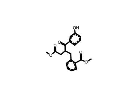 COC(=O)CC(Cc1ccccc1C(=O)OC)C(=O)c1cccc(O)c1